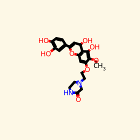 COc1c(OCCN2CCNC(=O)C2)cc2c(c1O)C(O)C=C(c1ccc(O)c(O)c1)O2